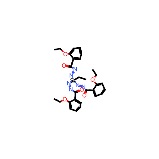 CCOc1ccccc1C(=O)N=N[Si](CC)(N=NC(=O)c1ccccc1OCC)N=NC(=O)c1ccccc1OCC